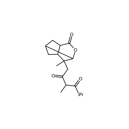 CC(C)C(=O)C(C)C(=O)CC1(C)C2CC3CC2C(=O)OC31